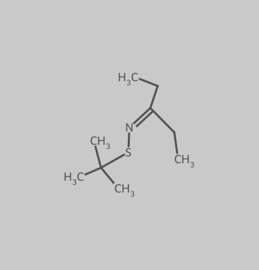 CCC(CC)=NSC(C)(C)C